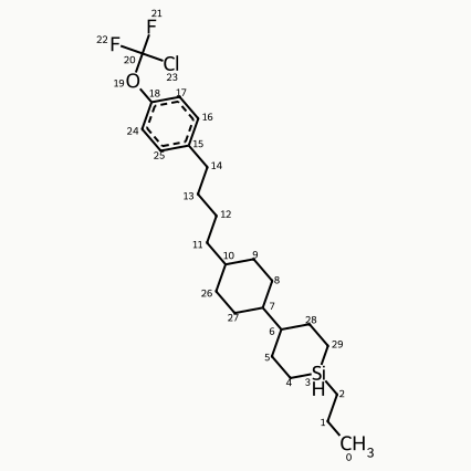 CCC[SiH]1CCC(C2CCC(CCCCc3ccc(OC(F)(F)Cl)cc3)CC2)CC1